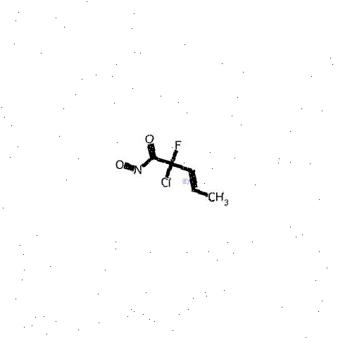 C/C=C/C(F)(Cl)C(=O)N=O